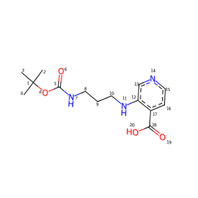 CC(C)(C)OC(=O)NCCCNc1cnccc1C(=O)O